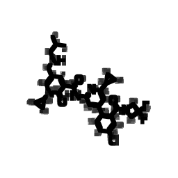 CC(C)CNCc1cc(C(=O)Nc2cc(-c3ccc(Cl)cc3C(=O)N3CC(F)(F)C3)cc(C3CC3)n2)c(=O)n(C2CC2)c1